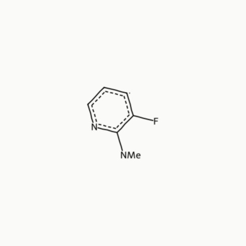 CNc1ncc[c]c1F